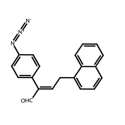 [N-]=[N+]=Nc1ccc(C(C=O)=CCc2cccc3ccccc23)cc1